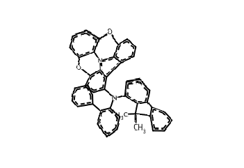 CC1(C)c2ccccc2-c2cccc(N(c3ccccc3-c3ccccc3)c3ccc4c5c3c3cccc6c3n5-c3c(cccc3O4)O6)c21